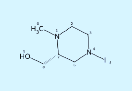 CN1CCN(I)C[C@@H]1CO